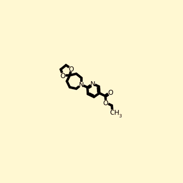 CCOC(=O)c1ccc(N2CCCC3(CC2)OCCO3)nc1